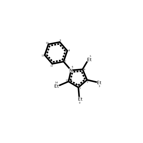 CCc1c(CC)c(CC)n(-c2ccccc2)c1CC